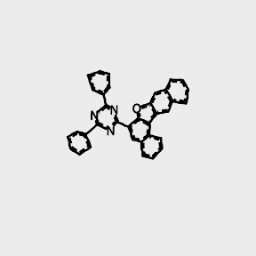 c1ccc(-c2nc(-c3ccccc3)nc(-c3cc4ccccc4c4c3oc3cc5ccccc5cc34)n2)cc1